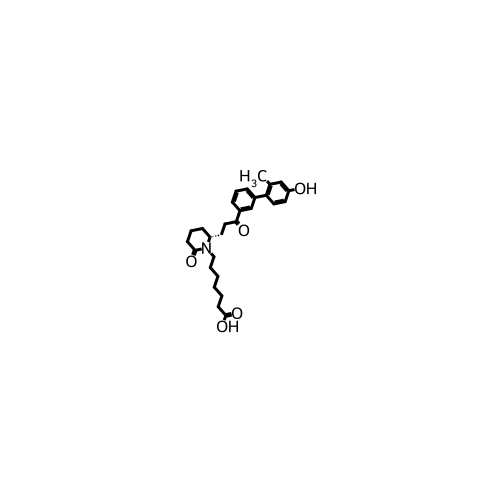 Cc1cc(O)ccc1-c1cccc(C(=O)CC[C@H]2CCCC(=O)N2CCCCCCC(=O)O)c1